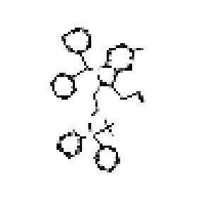 CC(C)(C)[Si](OCCc1c(CC=O)c2cc(Cl)ccc2n1C(c1ccccc1)c1ccccc1)(c1ccccc1)c1ccccc1